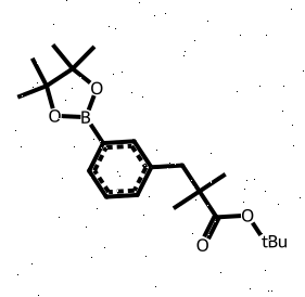 CC(C)(C)OC(=O)C(C)(C)Cc1cccc(B2OC(C)(C)C(C)(C)O2)c1